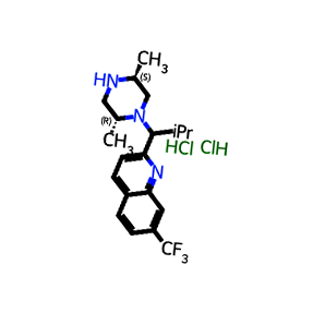 CC(C)C(c1ccc2ccc(C(F)(F)F)cc2n1)N1C[C@H](C)NC[C@H]1C.Cl.Cl